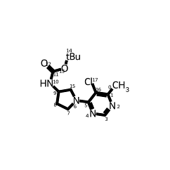 Cc1ncnc(N2CCC(NC(=O)OC(C)(C)C)C2)c1Cl